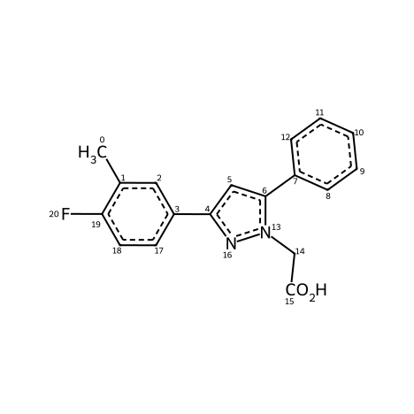 Cc1cc(-c2cc(-c3ccccc3)n(CC(=O)O)n2)ccc1F